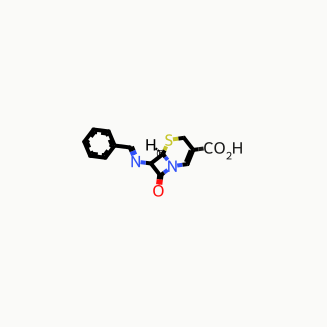 O=C(O)C1=CN2C(=O)C(N=Cc3ccccc3)[C@H]2SC1